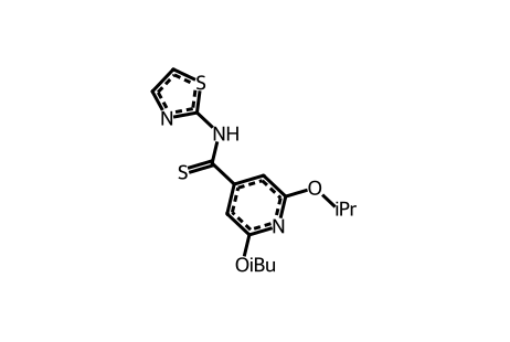 CC(C)COc1cc(C(=S)Nc2nccs2)cc(OC(C)C)n1